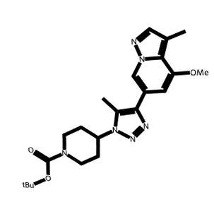 COc1cc(-c2nnn(C3CCN(C(=O)OC(C)(C)C)CC3)c2C)cn2ncc(C)c12